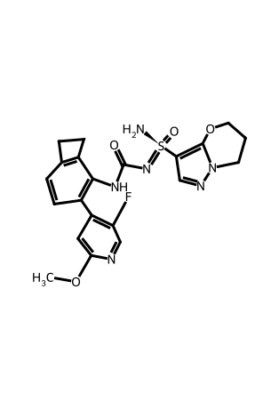 COc1cc(-c2ccc3c(c2NC(=O)N=[S@](N)(=O)c2cnn4c2OCCC4)CC3)c(F)cn1